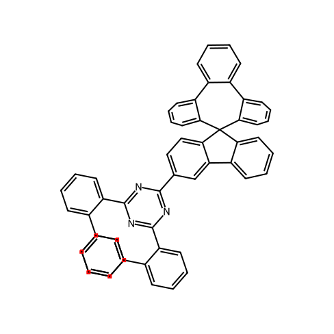 c1ccc(-c2ccccc2-c2nc(-c3ccc4c(c3)-c3ccccc3C43c4ccccc4-c4ccccc4-c4ccccc43)nc(-c3ccccc3-c3ccccc3)n2)cc1